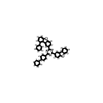 c1ccc(-c2ccc(-c3nc(-c4ccc5oc6ccccc6c5c4)nc(-c4ccc5oc6cccc(-c7ccccc7)c6c5c4)n3)cc2)cc1